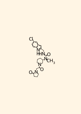 CN(C(=O)NCc1cc2cc(Cl)ccc2[nH]1)C1CCCN(C(=O)CN2CCCC2=O)C1